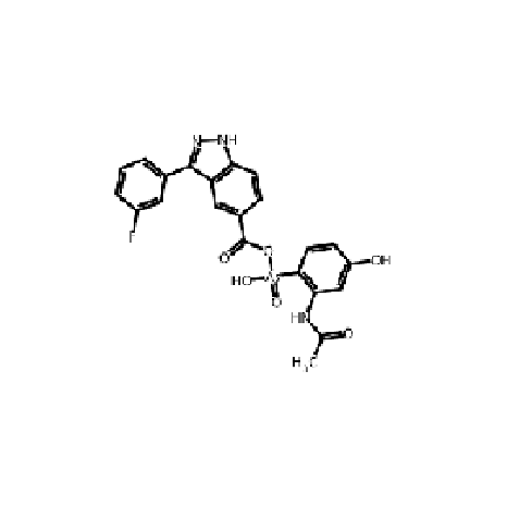 CC(=O)Nc1cc(O)ccc1[As](=O)(O)OC(=O)c1ccc2[nH]nc(-c3cccc(F)c3)c2c1